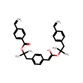 C=Cc1ccc(CC(C)(C)OC(O)=Cc2ccc(CC(C)(C)OC(=O)c3ccc(C=C)cc3)cc2)cc1